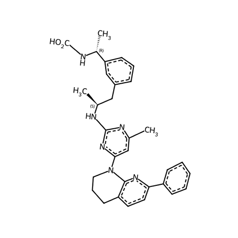 Cc1cc(N2CCCc3ccc(-c4ccccc4)nc32)nc(N[C@@H](C)Cc2cccc([C@@H](C)NC(=O)O)c2)n1